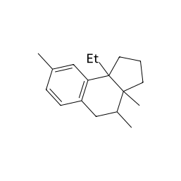 CCC12CCCC1(C)C(C)Cc1ccc(C)cc12